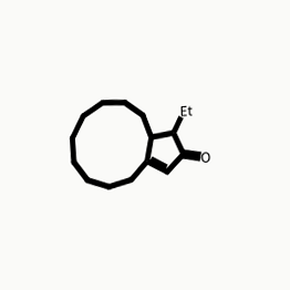 CCC1C(=O)C=C2CCCCCCCCCC21